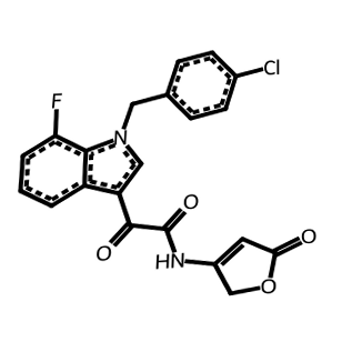 O=C1C=C(NC(=O)C(=O)c2cn(Cc3ccc(Cl)cc3)c3c(F)cccc23)CO1